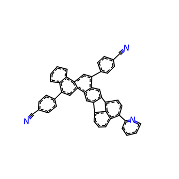 N#Cc1ccc(-c2cc3c4cc5c(cc4c(-c4ccc(C#N)cc4)cc3c3ccccc23)-c2ccc(-c3ccccn3)c3cccc-5c23)cc1